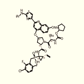 C=C[C@@H]1C[C@]1(NC(=O)[C@@H]1C[C@@H](Oc2cc(-c3csc(NC(C)C)n3)nc3cc(OC)ccc23)CN1C(=O)[C@@H](NC(=O)OC1CCCC1)C(C)(C)C)P(=O)(O)Cc1c(F)ccc(Cl)c1F